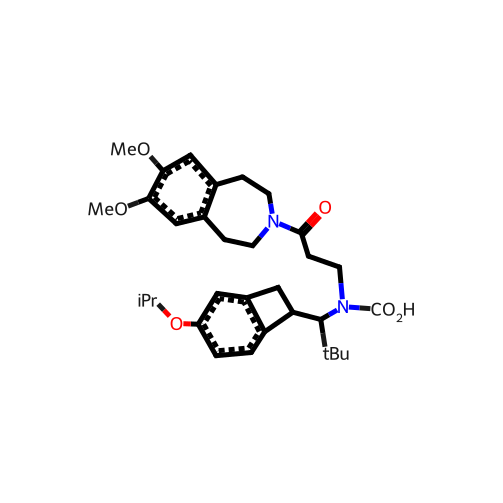 COc1cc2c(cc1OC)CCN(C(=O)CCN(C(=O)O)C(C1Cc3cc(OC(C)C)ccc31)C(C)(C)C)CC2